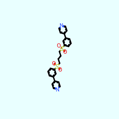 O=S(=O)(CCCCS(=O)(=O)c1cccc(-c2ccncc2)c1)c1cccc(-c2ccncc2)c1